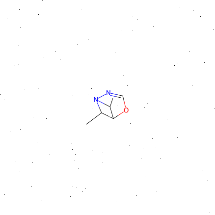 CC1C2OC=NN1C2C